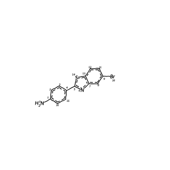 Nc1ccc(-c2nc3cc(Br)ccc3s2)cc1